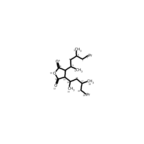 CC(C)CC(C)CC(C)C1C(=O)OC(=O)C1C(C)CC(C)CC(C)C